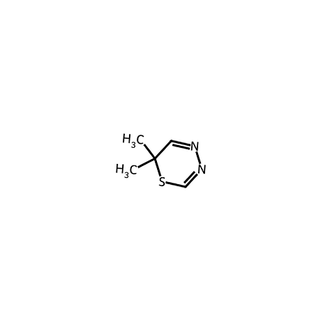 CC1(C)C=NN=CS1